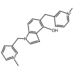 C[n+]1cccc(Cc2ccc3c(ccn3Cc3ccc[n+](C)c3)c2O)c1